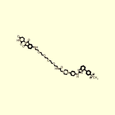 CS(=O)(=O)c1ccc(-c2cccc3nc(NC4C=CC(N5CCN(CC(=O)NCCOCCOCCOCCOCCNc6ccc7c(c6)C(=O)N(C6CCC(=O)NC6=O)C7=O)CC5)=CC4)nn23)cc1